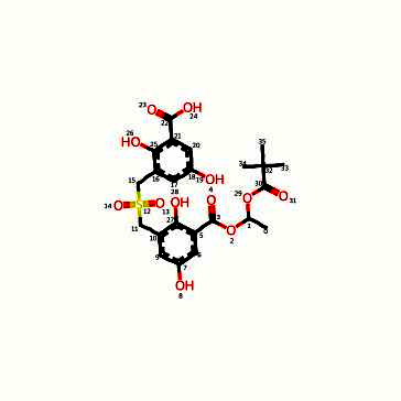 CC(OC(=O)c1cc(O)cc(CS(=O)(=O)Cc2cc(O)cc(C(=O)O)c2O)c1O)OC(=O)C(C)(C)C